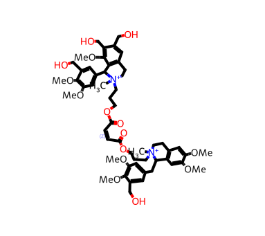 COc1cc2c(cc1OC)C(Cc1cc(CO)c(OC)c(OC)c1)[N+](C)(CCCOC(=O)/C=C\C(=O)OCCC[N+]1(C)CCc3cc(CO)c(CO)c(OC)c3C1c1cc(CO)c(OC)c(OC)c1)CC2